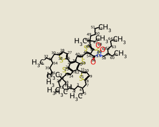 CCCCC(CC)Cc1ccc(-c2c3cc(C(C)(CC)CCC)sc3c(-c3ccc(CC(CC)CCCC)s3)c3cc(-c4sc(C(C)(CC)CCCC)c5c4C(=O)N(CC(CC)CCCC)S5(=O)=O)sc23)s1